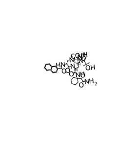 CC(C)(O)c1cnnn1[C@H]1C[C@@H](C(=O)NC2(C(=O)C(N)=O)CCCCC2)N(C(=O)C(CNC(=O)O)NC(=O)c2ccc3ccccc3c2)C1